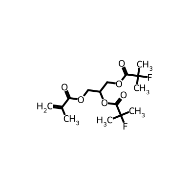 C=C(C)C(=O)OCC(COC(=O)C(C)(C)F)OC(=O)C(C)(C)F